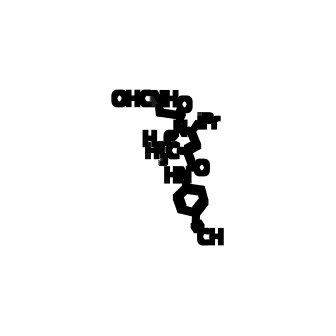 C#Cc1ccc(NC(=O)/C(C)=C/[C@H](C(C)C)N(C)C(=O)CNC=O)cc1